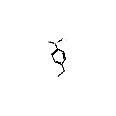 [O-][S+](c1ccc(CBr)cc1)C(F)(F)F